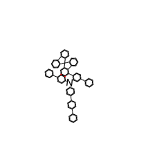 c1ccc(-c2ccc(-c3ccc(N(c4ccc(-c5ccccc5)cc4)c4cc(-c5ccccc5)ccc4-c4cccc5c4-c4ccccc4C54c5ccccc5-c5ccccc54)cc3)cc2)cc1